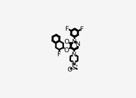 C[S+]([O-])N1CCN(c2cnn(-c3cc(F)cc(F)c3)c(=O)c2OC2Cc3ccccc3CC2F)CC1